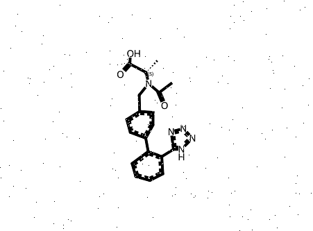 CC(=O)N(Cc1ccc(-c2ccccc2-c2nnn[nH]2)cc1)[C@@H](C)C(=O)O